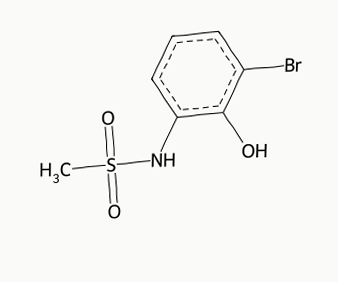 CS(=O)(=O)Nc1cccc(Br)c1O